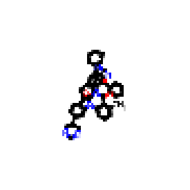 Cc1cccc(-n2c3cc(-c4cncnc4)ccc3c3ccc(-c4cncnc4)cc32)c1C(=O)N(C=O)c1ccc(-c2ccccc2)cc1-c1ccccc1